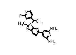 Cc1nc2ccc(-c3cc(N)nc(N)c3)nc2n1C(C)c1ccnc(F)c1